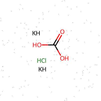 Cl.O=C(O)O.[KH].[KH]